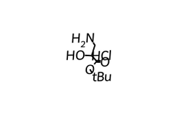 CC(C)(C)OC(=O)C(O)CN.Cl